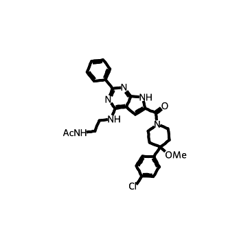 COC1(c2ccc(Cl)cc2)CCN(C(=O)c2cc3c(NCCNC(C)=O)nc(-c4ccccc4)nc3[nH]2)CC1